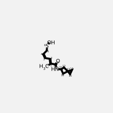 C/C(=C\C=C/CSO)C(=O)NC1CC2(CC2)C1